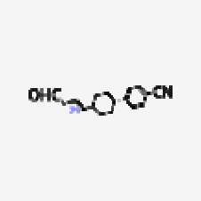 N#Cc1ccc([C@H]2CC[C@H](/C=C/CC=O)CC2)cc1